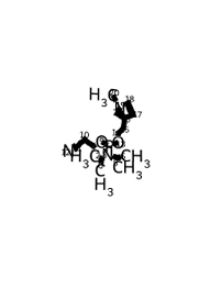 CC(C)N(C(C)C)P(OCCC#N)OCCc1ccn(C)c1